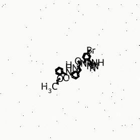 CCCOc1ccccc1C(=O)Nc1cccc2cc(C(=O)Nc3ccc(Br)cc3-c3nnn[nH]3)[nH]c12